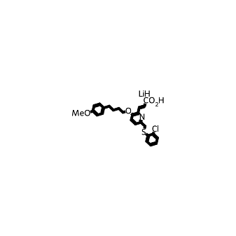 COc1ccc(CCCCOc2ccc(CSc3ccccc3Cl)nc2C=CC(=O)O)cc1.[LiH]